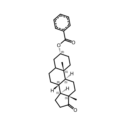 C[C@]12CC[C@@H](OC(=O)c3ccccc3)CC1CC[C@@H]1[C@@H]2CC[C@]2(C)C(=O)CC[C@@H]12